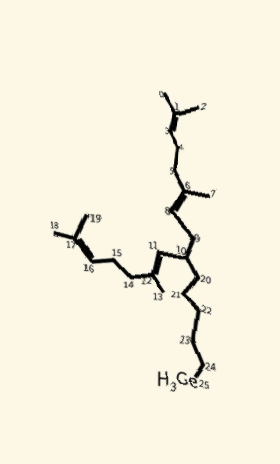 CC(C)=CCC/C(C)=C/CC(/C=C(\C)CCC=C(C)C)CCCC[CH2][GeH3]